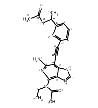 CCN(C(=O)O)c1nc(N)c(C#Cc2cccc(C(C)NC(C)=O)n2)c2[nH]cnc12